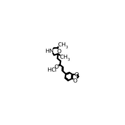 CC1CNCC(C)(CCC(=O)C=Cc2ccc3c(c2)OCO3)O1.Cl